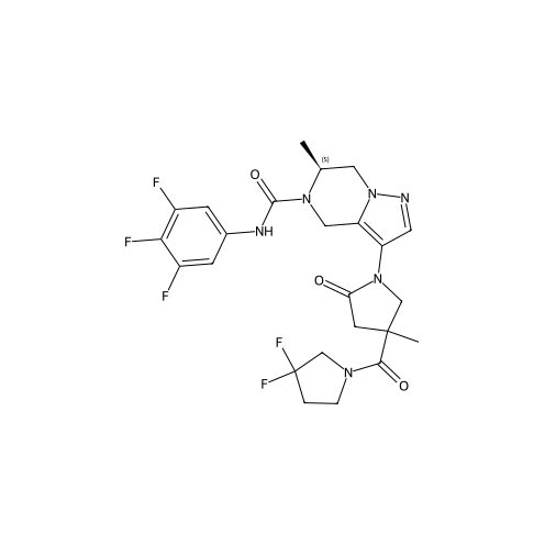 C[C@H]1Cn2ncc(N3CC(C)(C(=O)N4CCC(F)(F)C4)CC3=O)c2CN1C(=O)Nc1cc(F)c(F)c(F)c1